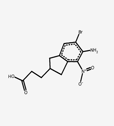 Nc1c(Br)cc2c(c1[N+](=O)[O-])CC(CCC(=O)O)C2